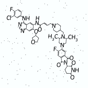 CC1CN(c2cc3c(cc2F)C(=O)N(C2CCC(=O)NC2=O)C3=O)CC(C)N1CC1CCN(C/C=C/C(=O)Nc2cc3c(Nc4ccc(F)c(Cl)c4)ncnc3cc2O[C@H]2CCOC2)CC1